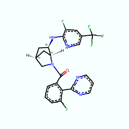 O=C(c1cccc(F)c1-c1ncccn1)N1C[C@H]2C[C@@H](Nc3ncc(C(F)(F)F)cc3F)[C@@H]1C2